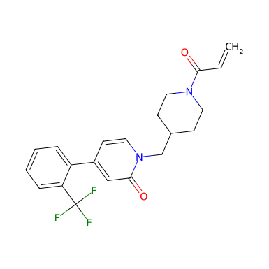 C=CC(=O)N1CCC(Cn2ccc(-c3ccccc3C(F)(F)F)cc2=O)CC1